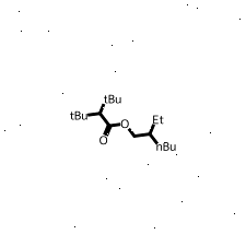 CCCCC(CC)COC(=O)C(C(C)(C)C)C(C)(C)C